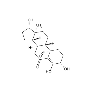 C[C@]12CC[C@H]3[C@@H](CC(=O)C4=C(O)[C@@H](O)CC[C@@]43C=O)[C@@H]1CC[C@@H]2O